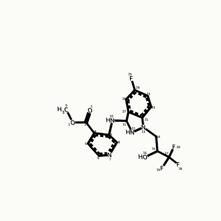 COC(=O)c1ccncc1NC1NN(CC(O)C(F)(F)F)c2ccc(F)cc21